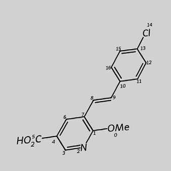 COc1ncc(C(=O)O)cc1/C=C/c1ccc(Cl)cc1